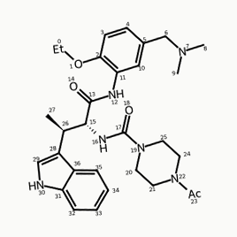 CCOc1ccc(CN(C)C)cc1NC(=O)[C@H](NC(=O)N1CCN(C(C)=O)CC1)[C@H](C)c1c[nH]c2ccccc12